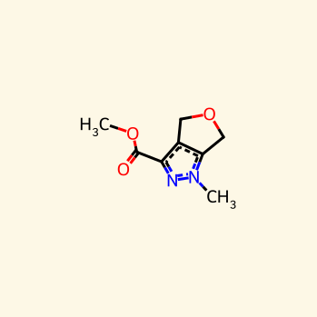 COC(=O)c1nn(C)c2c1COC2